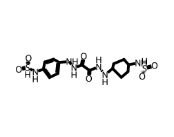 O=C(NNc1ccc(N[SH](=O)=O)cc1)C(=O)NNC1CCC(N[SH](=O)=O)CC1